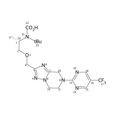 C[C@@H](COCc1nc2n(n1)CCN(c1ncc(C(F)(F)F)cn1)C2)N(C(=O)O)C(C)(C)C